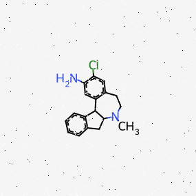 CN1CCc2cc(Cl)c(N)cc2C2c3ccccc3CC21